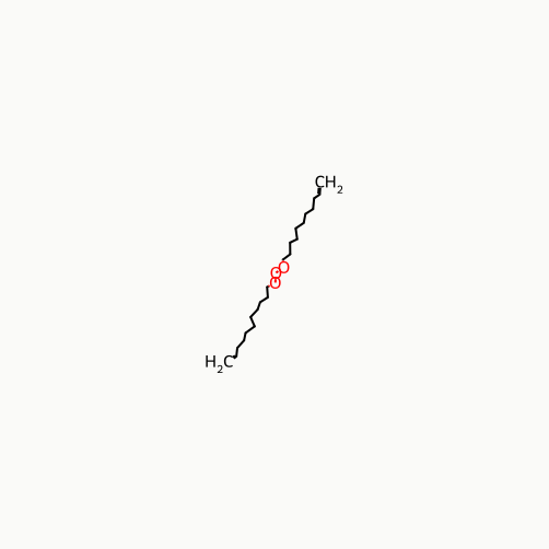 C=CCCCCCCCCCOOOCCCCCCCCCC=C